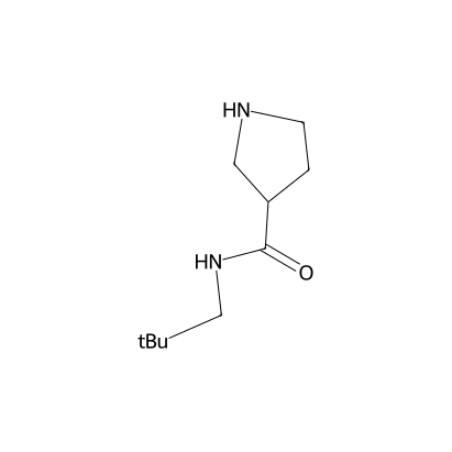 CC(C)(C)CNC(=O)C1CCNC1